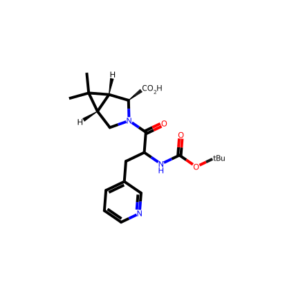 CC(C)(C)OC(=O)NC(Cc1cccnc1)C(=O)N1C[C@H]2[C@@H]([C@H]1C(=O)O)C2(C)C